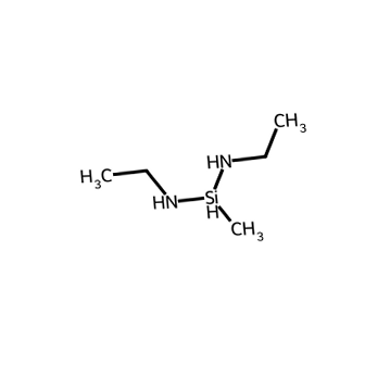 CCN[SiH](C)NCC